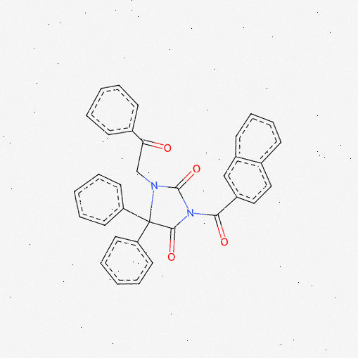 O=C(CN1C(=O)N(C(=O)c2ccc3ccccc3c2)C(=O)C1(c1ccccc1)c1ccccc1)c1ccccc1